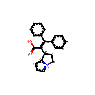 O=C(O)C(=C(c1ccccc1)c1ccccc1)C1CCn2cccc21